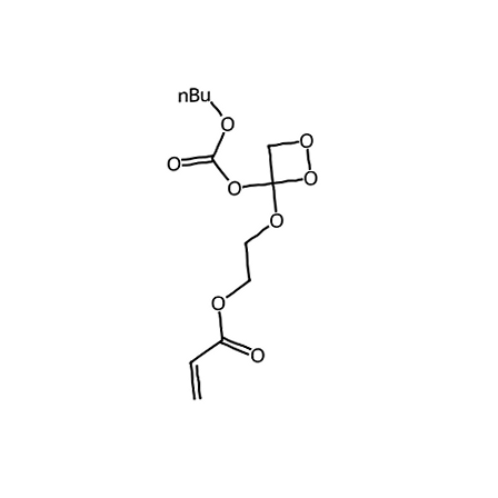 C=CC(=O)OCCOC1(OC(=O)OCCCC)COO1